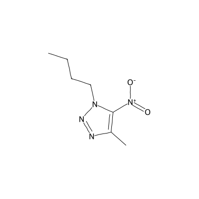 CCCCn1nnc(C)c1[N+](=O)[O-]